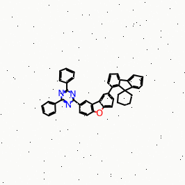 c1ccc(-c2nc(-c3ccccc3)nc(-c3ccc4oc5ccc(-c6cccc7c6C6(CCCCC6)c6ccccc6-7)cc5c4c3)n2)cc1